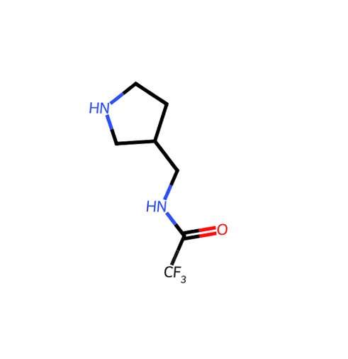 O=C(NCC1CCNC1)C(F)(F)F